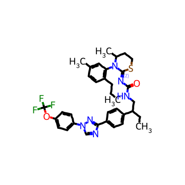 CCCc1ccc(C)cc1N1/C(=N/C(=O)NCC(CC)c2ccc(-c3ncn(-c4ccc(OC(F)(F)F)cc4)n3)cc2)SCCC1C